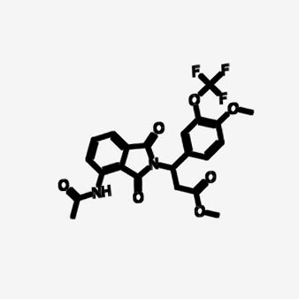 COC(=O)CC(c1ccc(OC)c(OC(F)(F)F)c1)N1C(=O)c2cccc(NC(C)=O)c2C1=O